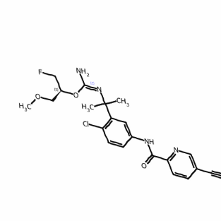 COC[C@@H](CF)O/C(N)=N\C(C)(C)c1cc(NC(=O)c2ccc(C#N)cn2)ccc1Cl